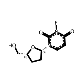 O=c1ccn([C@@H]2CC[C@H](CO)O2)c(=O)n1F